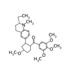 CCC1CCc2cc(C3CC(OC)CCC3C(=O)c3cc(OC)c(OC)c(OC)c3)ccc2N1C